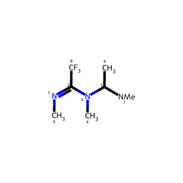 C/N=C(\N(C)C(C)NC)C(F)(F)F